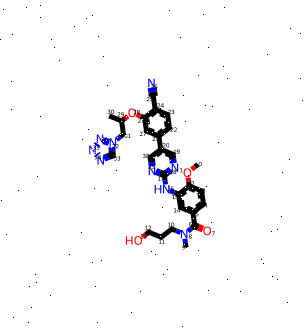 COc1ccc(C(=O)N(C)CCCO)cc1Nc1ncc(-c2ccc(C#N)c(OC(C)Cn3cnnn3)c2)cn1